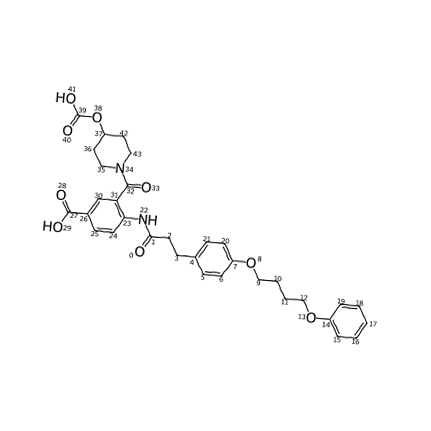 O=C(CCc1ccc(OCCCCOc2ccccc2)cc1)Nc1ccc(C(=O)O)cc1C(=O)N1CCC(OC(=O)O)CC1